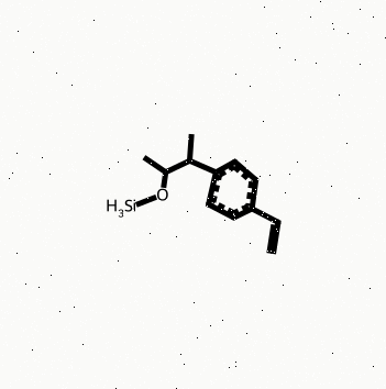 C=Cc1ccc(C(C)C(C)O[SiH3])cc1